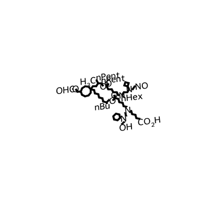 CCCCCCN(CCCCCC(=O)OC(CCCCC)C(CCC1(CCCCCCC(CCCC)COC(=O)CCCCCN(CCCCCC(=O)O)CCN(CCO)C2CCCCC2)CCCCC(COC=O)CCC1)C(C)CCCCC)CCN(CCN=O)C1CCC1